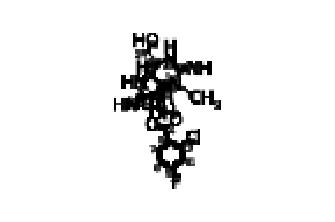 C[C@H]1[C@H](OC(=O)c2ccc(F)cc2Cl)C(O)(O)[C@]23NC(=N)N[C@H]2[C@H](CO)NC(=N)N13